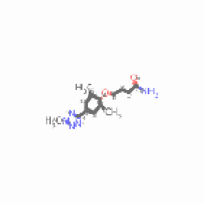 Cc1cc(-c2nnn(C)n2)cc(C)c1OCCCC(N)=O